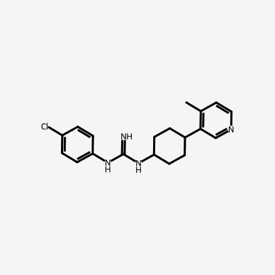 Cc1ccncc1C1CCC(NC(=N)Nc2ccc(Cl)cc2)CC1